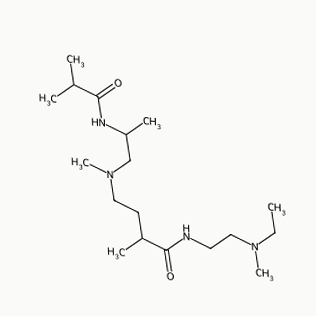 CCN(C)CCNC(=O)C(C)CCN(C)CC(C)NC(=O)C(C)C